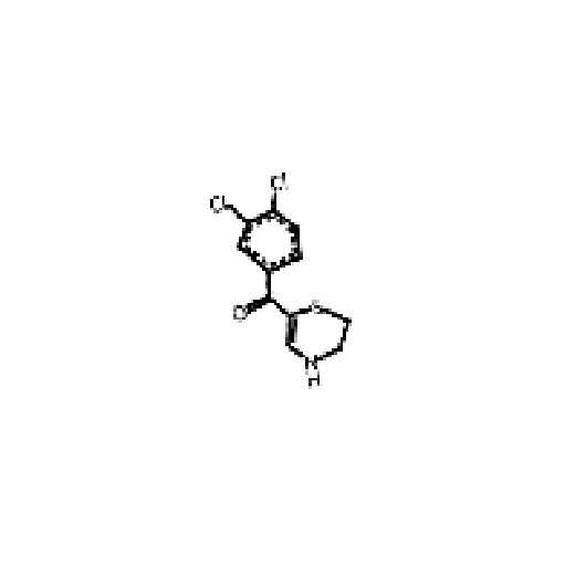 O=C(C1=CNCCS1)c1ccc(Cl)c(Cl)c1